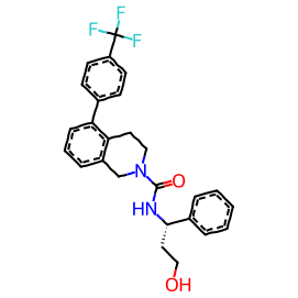 O=C(N[C@@H](CCO)c1ccccc1)N1CCc2c(cccc2-c2ccc(C(F)(F)F)cc2)C1